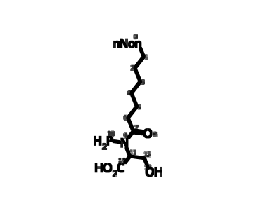 CCCCCCCCCCCCCCCC(=O)N(P)C(CO)C(=O)O